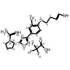 CCCC=CCCOc1ccc(-c2noc([C@@H]3CCCN3C(=N)N)n2)cc1C(F)(F)F.O=C(O)C(F)(F)F